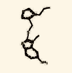 CCCn1cncc1CSc1nc2ccc(N)cc2n1C